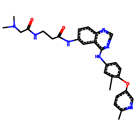 Cc1ccc(Oc2ccc(Nc3ncnc4ccc(NC(=O)CCNC(=O)CN(C)C)cc34)cc2C)cn1